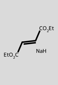 CCOC(=O)C=CC(=O)OCC.[NaH]